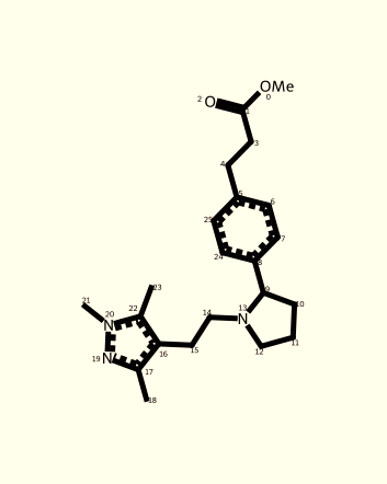 COC(=O)CCc1ccc(C2CCCN2CCc2c(C)nn(C)c2C)cc1